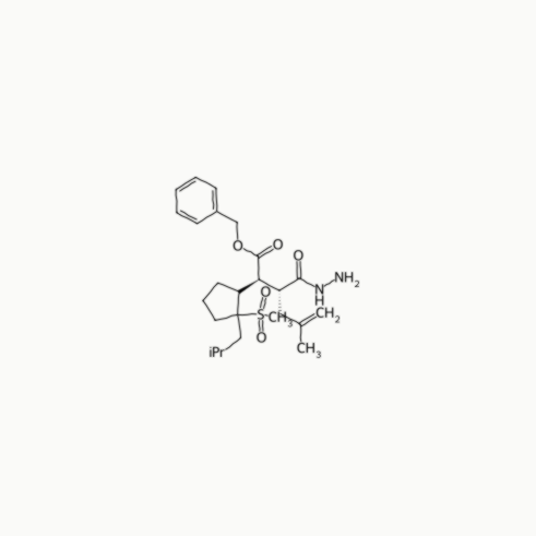 C=C(C)C[C@@H](C(=O)NN)[C@H](C(=O)OCc1ccccc1)C1CCCC1(CC(C)C)S(C)(=O)=O